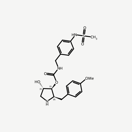 COc1ccc(C[C@H]2NC[C@H](O)[C@H]2OC(=O)NCc2ccc(NS(C)(=O)=O)cc2)cc1